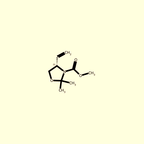 C=C[C@H]1COC(C)(C)N1C(=O)OC